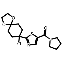 O=C(c1cnc(C2(Cl)CCC3(CC2)OCCO3)s1)N1CCCC1